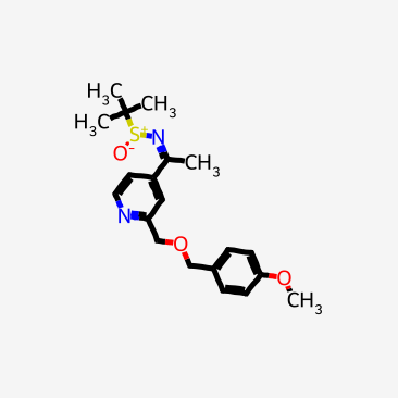 COc1ccc(COCc2cc(/C(C)=N\[S@+]([O-])C(C)(C)C)ccn2)cc1